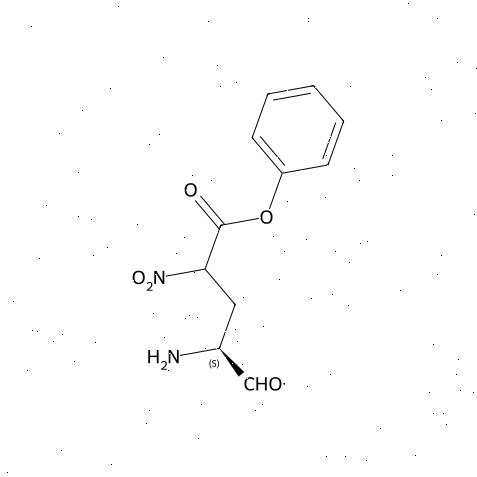 N[C@H]([C]=O)CC(C(=O)Oc1ccccc1)[N+](=O)[O-]